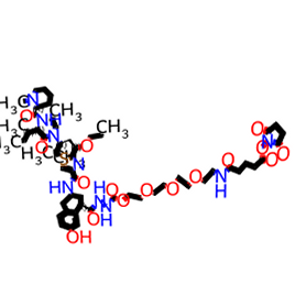 CCCO[C@H](C[C@H](C(C)C)N(CCC)C(=O)[C@@H](NC(=O)[C@H]1CCCCN1C)[C@@H](C)CC)c1nc(C(=O)NC2Cc3ccc(O)cc3[C@H](C(=O)NNC(=O)OCCOCCOCCOCCNC(=O)CCCC(=O)ON3C(=O)CCC3=O)C2)cs1